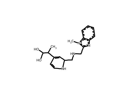 CC(C1=CC(CNCc2nc3ccccc3n2C)NC=C1)C(O)O